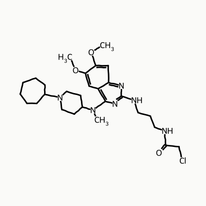 COc1cc2nc(NCCCNC(=O)CCl)nc(N(C)C3CCN(C4CCCCCC4)CC3)c2cc1OC